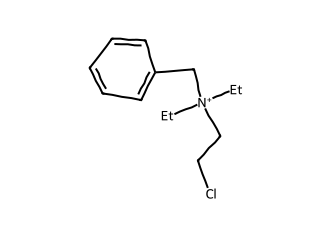 CC[N+](CC)(CCCl)Cc1ccccc1